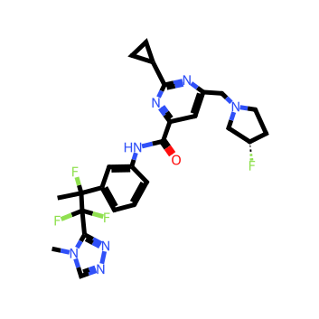 Cn1cnnc1C(F)(F)C(C)(F)c1cccc(NC(=O)c2cc(CN3CC[C@H](F)C3)nc(C3CC3)n2)c1